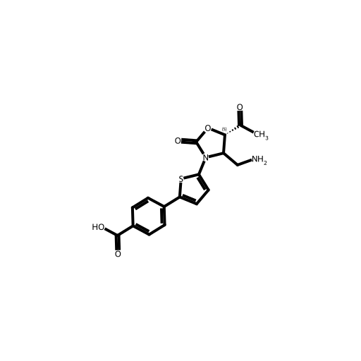 CC(=O)[C@H]1OC(=O)N(c2ccc(-c3ccc(C(=O)O)cc3)s2)C1CN